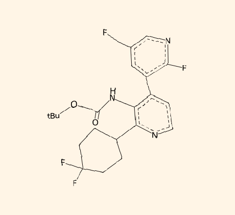 CC(C)(C)OC(=O)Nc1c(-c2cc(F)cnc2F)ccnc1C1CCC(F)(F)CC1